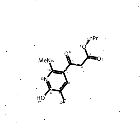 CCCOC(=O)CC(=O)c1cc(F)c(O)nc1NC